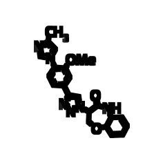 COc1cc(-c2cn(C3COC4C=CC=CC4NC3=O)nn2)ccc1-n1cnc(C)c1